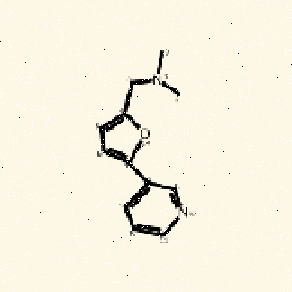 CN(C)Cc1ccc(-c2cccnc2)o1